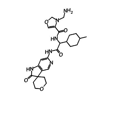 CC1CCC(C(NC(=O)C2=COCN2CN)C(=O)Nc2cc3c(cn2)C2(CCOCC2)C(=O)N3)CC1